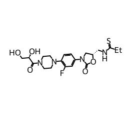 CCC(=S)NC[C@H]1CN(c2ccc(N3CCN(C(=O)[C@H](O)CO)CC3)c(F)c2)C(=O)O1